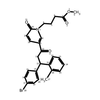 COC(=O)CCCn1cc(C(=O)CC(c2ccc(Br)cc2)c2ccccc2C)ccc1=O